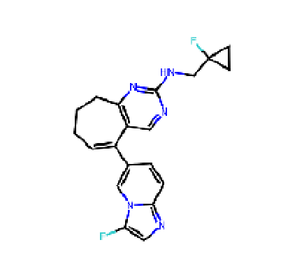 Fc1cnc2ccc(C3=CCCCc4nc(NCC5(F)CC5)ncc43)cn12